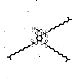 CC(C)CCCCCCCCCOC(=O)OC1CC(OC(=O)OCCCCCCCCCC(C)C)C(OC(=O)OCCCCCCCCCC(C)C)CC1OC(=O)O